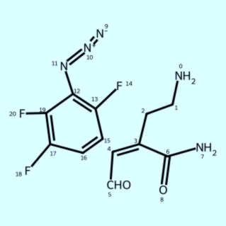 NCCC(=CC=O)C(N)=O.[N-]=[N+]=Nc1c(F)ccc(F)c1F